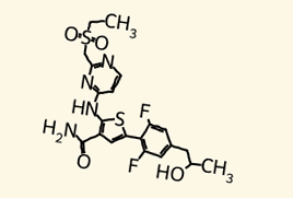 CCS(=O)(=O)Cc1nccc(Nc2sc(-c3c(F)cc(CC(C)O)cc3F)cc2C(N)=O)n1